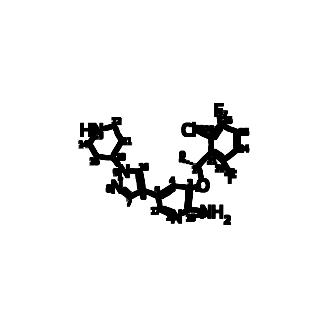 C[C@@H](Oc1cc(-c2cnn(C3CCNCC3)c2)cnc1N)c1c(F)ccc(F)c1Cl